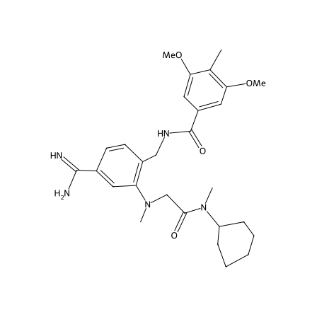 COc1cc(C(=O)NCc2ccc(C(=N)N)cc2N(C)CC(=O)N(C)C2CCCCC2)cc(OC)c1C